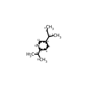 CCC(C)c1ccc(C(C)C)nc1